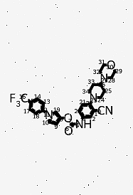 N#Cc1cc(NC(=O)Oc2ccn(-c3ccc(C(F)(F)F)cc3)c2)ccc1N1CCC(N2CCOCC2)CC1